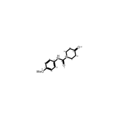 COc1ccc(NC(=O)N2CCC(=O)CC2)cc1